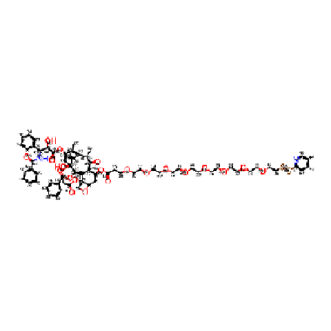 CC(=O)O[C@@]12COC1C[C@H](OC(=O)CCOCCOCCOCCOCCOCCOCCOCCOCCSSc1ccccn1)[C@@]1(C)C(=O)[C@H](C)C3=C(C)C(OC(=O)[C@H](O)[C@@H](NC(=O)c4ccccc4)c4ccccc4)C[C@@](O)([C@@H](OC(=O)c4ccccc4)[C@@H]12)C3(C)C